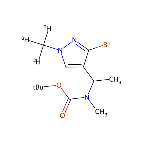 [2H]C([2H])([2H])n1cc(C(C)N(C)C(=O)OC(C)(C)C)c(Br)n1